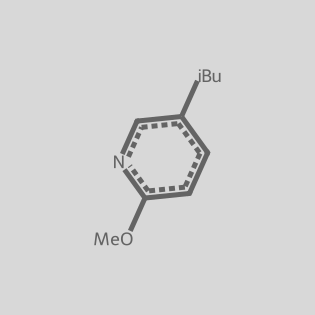 CCC(C)c1ccc(OC)nc1